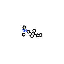 CC1C=CC=C2C(c3ccc4ccccc4c3)=c3ccccc3=C(c3ccc(-n4c(-c5ccccc5)nc5ccccc54)cc3)C21